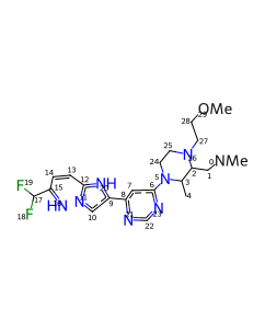 CNCC1C(C)N(c2cc(-c3cnc(/C=C\C(=N)C(F)F)[nH]3)ncn2)CCN1CCOC